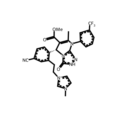 COC(=O)C1=C(C)N(c2cccc(C(F)(F)F)c2)c2n[nH]c(=O)n2[C@@H]1c1ccc(C#N)cc1CC[n+]1ccn(C)c1